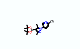 Cc1nn(-c2ccc(C#N)nc2)c(C)c1B1OC(C)(C)C(C)(C)O1